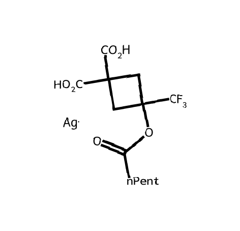 CCCCCC(=O)OC1(C(F)(F)F)CC(C(=O)O)(C(=O)O)C1.[Ag]